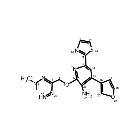 CN/N=C(/COc1nc(-c2nccs2)cc(-c2ccoc2)c1N)N=N